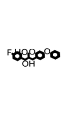 O=C(O)C(Cc1ccc(Oc2ccccc2)cc1)C(O)c1ccc(F)cc1